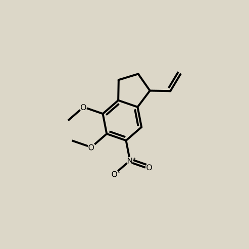 C=CC1CCc2c1cc([N+](=O)[O-])c(OC)c2OC